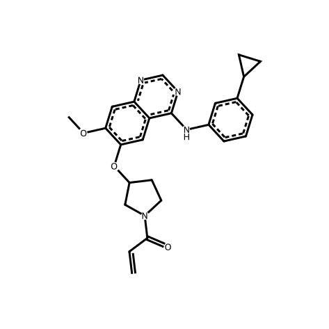 C=CC(=O)N1CCC(Oc2cc3c(Nc4cccc(C5CC5)c4)ncnc3cc2OC)C1